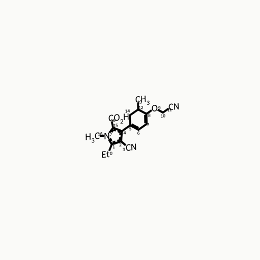 CCc1c(C#N)c(C2=CC=C(OCC#N)C(C)C2)c(C(=O)O)n1C